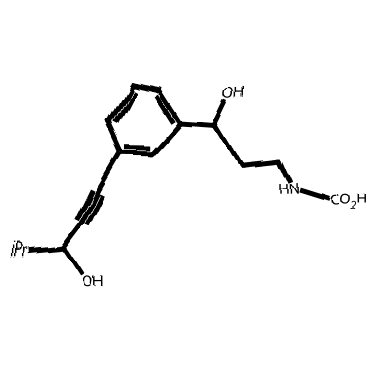 CC(C)C(O)C#Cc1cccc(C(O)CCNC(=O)O)c1